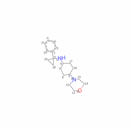 c1ccc(C2(NC3CCC(N4CCOCC4)CC3)CC2)cc1